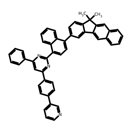 CC1(C)c2ccc(-c3ccc(-c4nc(-c5ccccc5)cc(-c5ccc(-c6cccnc6)cc5)n4)c4ccccc34)cc2-c2cc3ccccc3cc21